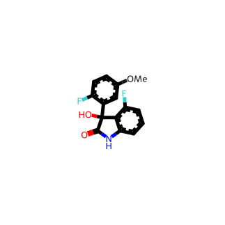 COc1ccc(F)c(C2(O)C(=O)Nc3cccc(F)c32)c1